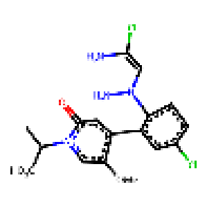 COc1cn(C(C)C(=O)O)c(=O)cc1-c1cc(Cl)ccc1N(N)/C=C(\N)Cl